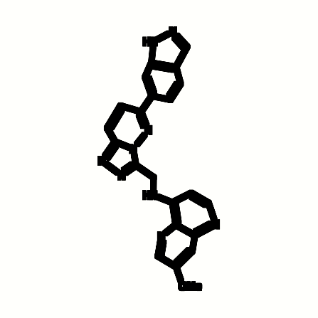 COc1cnc2c(NCc3nnc4ccc(-c5ccc6cn[nH]c6c5)nn34)ccnc2c1